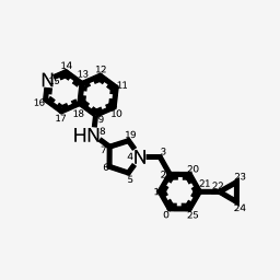 c1cc(CN2CCC(Nc3cccc4cnccc34)C2)cc(C2CC2)c1